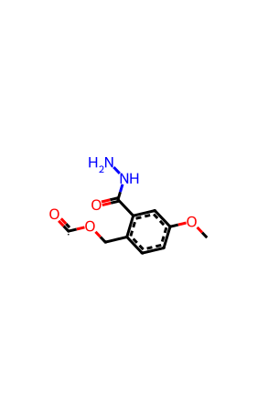 COc1ccc(CO[C]=O)c(C(=O)NN)c1